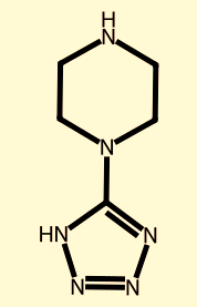 C1CN(c2nnn[nH]2)CCN1